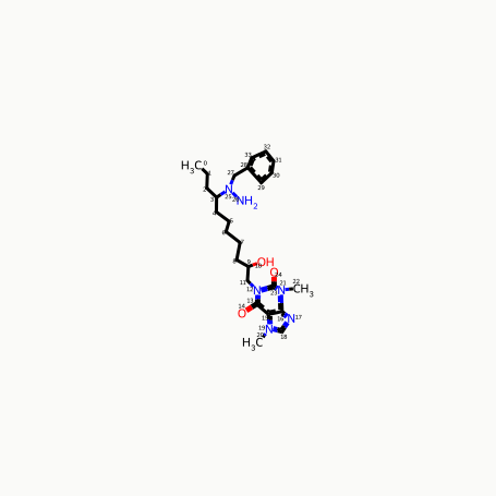 CCCC(CCCCCC(O)Cn1c(=O)c2c(ncn2C)n(C)c1=O)N(N)Cc1ccccc1